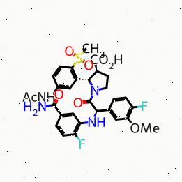 COc1cc([C@@H](Nc2cc(C(N)=O)ccc2F)C(=O)N2CC[C@H](C(=O)O)[C@H]2c2cc(NC(C)=O)ccc2S(C)(=O)=O)ccc1F